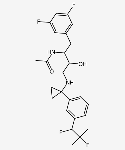 CC(=O)NC(Cc1cc(F)cc(F)c1)C(O)CNC1(c2cccc(C(F)C(C)(C)F)c2)CC1